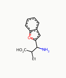 CCC(C(=O)O)C(N)c1cc2ccccc2o1